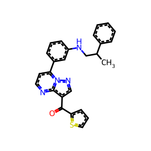 CC(CNc1cccc(-c2ccnc3c(C(=O)c4cccs4)cnn23)c1)c1ccccc1